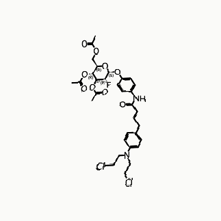 CC(=O)OC[C@H]1O[C@@H](Oc2ccc(NC(=O)CCCc3ccc(N(CCCl)CCCl)cc3)cc2)[C@H](F)[C@@H](OC(C)=O)[C@@H]1OC(C)=O